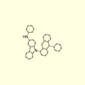 c1ccc(Nc2ccc3c(c2)c2ccccc2n3-c2cccc3c(-c4ccccc4)c4ccccc4cc23)cc1